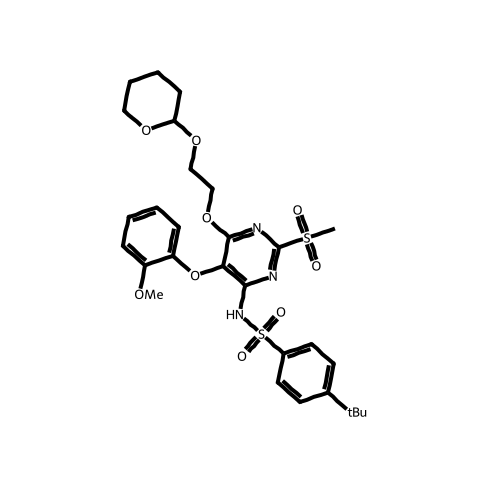 COc1ccccc1Oc1c(NS(=O)(=O)c2ccc(C(C)(C)C)cc2)nc(S(C)(=O)=O)nc1OCCOC1CCCCO1